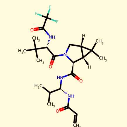 C=CC(=O)N[C@@H](NC(=O)[C@@H]1[C@@H]2[C@H](CN1C(=O)[C@@H](NC(=O)C(F)(F)F)C(C)(C)C)C2(C)C)C(C)C